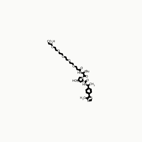 Cc1ncsc1-c1ccc(C(C)NC(=O)[C@@H]2C[C@@H](O)CN2C(=O)C(NC(=O)CCOCCOCCOCCOCCOCCC(=O)O)C(C)(C)C)cc1